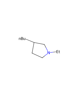 CCCCC1CCN(CC)C1